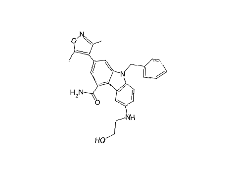 Cc1noc(C)c1-c1cc(C(N)=O)c2c3cc(NCCO)ccc3n(Cc3ccccc3)c2c1